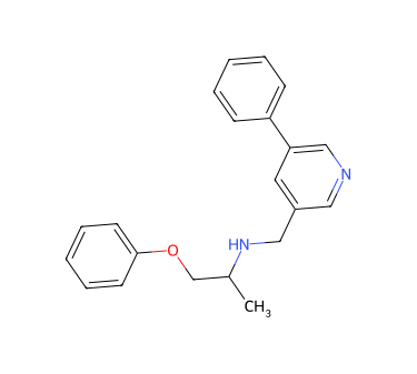 CC(COc1ccccc1)NCc1cncc(-c2ccccc2)c1